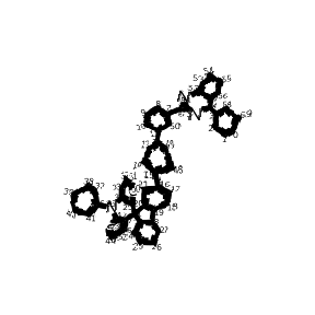 c1ccc(-c2nc(-c3cccc(-c4ccc(-c5ccc6c(c5)C5(c7ccccc7-6)c6ccccc6N(c6ccccc6)c6ccccc65)cc4)c3)nc3ccccc23)cc1